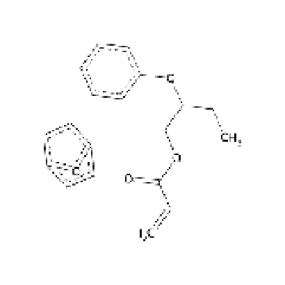 C=CC(=O)OCC(CC)Oc1ccccc1.c1cc2ccc1o2